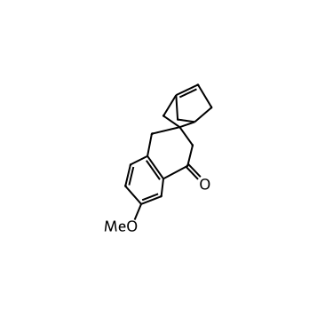 COc1ccc2c(c1)C(=O)CC1(CC3=CCC1C3)C2